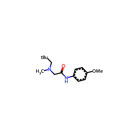 COc1ccc(NC(=O)CN(C)CC(C)(C)C)cc1